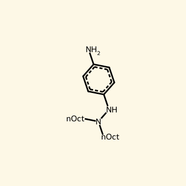 CCCCCCCCN(CCCCCCCC)Nc1ccc(N)cc1